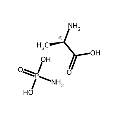 C[C@@H](N)C(=O)O.NP(=O)(O)O